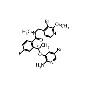 COc1nccc(CN(C)C(=O)c2ccc(F)cc2[C@@H](C)Oc2cc(Br)cnc2N)c1Br